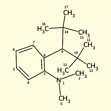 CN(C)c1ccc[c]c1C(C(C)(C)C)C(C)(C)C